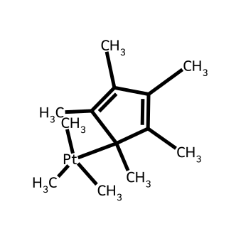 CC1=C(C)[C](C)([Pt]([CH3])([CH3])[CH3])C(C)=C1C